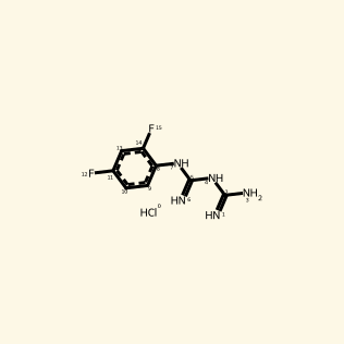 Cl.N=C(N)NC(=N)Nc1ccc(F)cc1F